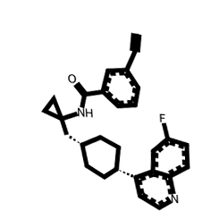 C#Cc1cccc(C(=O)NC2(C[C@H]3CC[C@@H](c4ccnc5ccc(F)cc54)CC3)CC2)c1